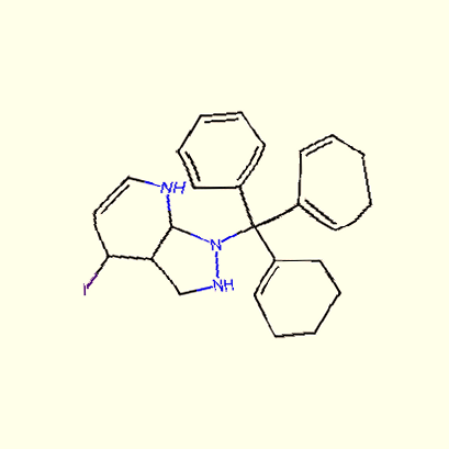 IC1C=CNC2C1CNN2C(C1=CCCC=C1)(C1=CCCCC1)c1ccccc1